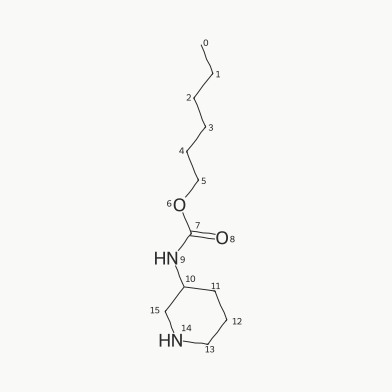 CCCCCCOC(=O)NC1CCCNC1